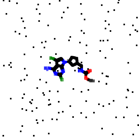 CC(C)(C)OC(=O)NCC1CC[C@H](n2cc(Br)c3c(N)nc(Cl)nc32)C1